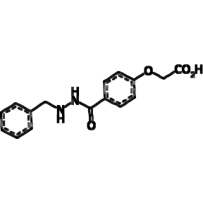 O=C(O)COc1ccc(C(=O)NNCc2ccccc2)cc1